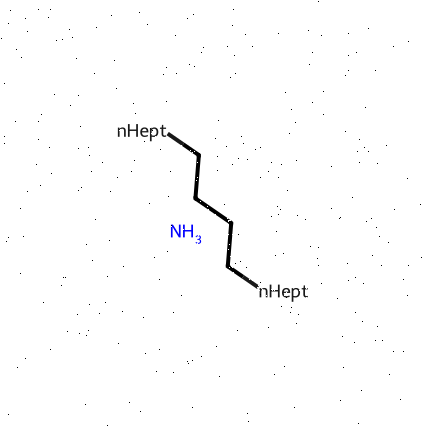 CCCCCCCCCCCCCCCCCC.N